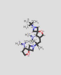 CN(C)[C@H]1C(CC(C)(C)N2CC3(C2)OCC[C@H]3N(C)C)COC12CN(C(C)(C)C)C2